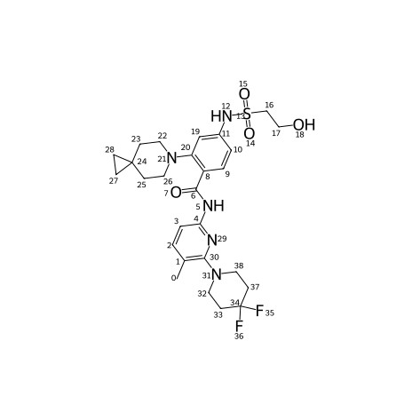 Cc1ccc(NC(=O)c2ccc(NS(=O)(=O)CCO)cc2N2CCC3(CC2)CC3)nc1N1CCC(F)(F)CC1